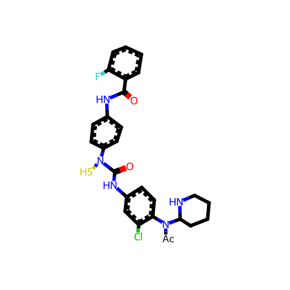 CC(=O)N(c1ccc(NC(=O)N(S)c2ccc(NC(=O)c3ccccc3F)cc2)cc1Cl)C1CCCCN1